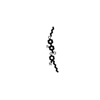 CCCCCCCC1(C#N)CCC(OC(=O)c2ccc(-c3ccc(OCCCCCC)cc3)c(F)c2)CC1